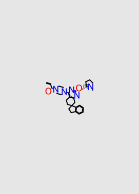 C=CC(=O)N1CCN(c2nc(OC[C@@H]3CCCN3C)nc3c2CCC2(CCc4ccccc42)C3)CC1